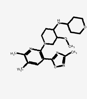 COC1CN(c2nc(C)c(C)cc2-c2nc(C)no2)CCC1NC1CCOCC1